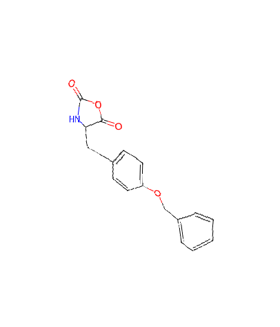 O=C1NC(Cc2ccc(OCc3ccccc3)cc2)C(=O)O1